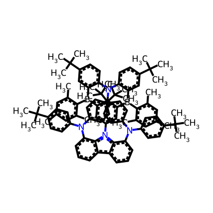 Cc1cc(C)c(B2c3cc(C(C)(C)C)ccc3N3c4ccc(C(C)(C)C)cc4B(c4c(C)cc(C)cc4C)c4cc(-n5c6c(N(c7ccc(C(C)(C)C)cc7)c7ccc(C(C)(C)C)cc7)cccc6c6cccc(N(c7ccc(C(C)(C)C)cc7)c7ccc(C(C)(C)C)cc7)c65)cc2c43)c(C)c1